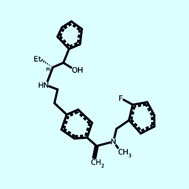 C=C(c1ccc(CCN[C@H](CC)C(O)c2ccccc2)cc1)N(C)Cc1ccccc1F